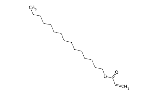 C=CC(=O)OCCCCCCCCCCCCCCC